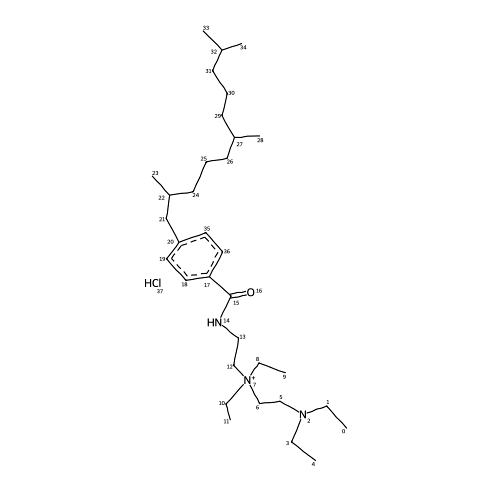 CCN(CC)CC[N+](CC)(CC)CCNC(=O)c1ccc(CC(C)CCCC(C)CCCC(C)C)cc1.Cl